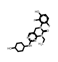 CCN1C(=O)N(c2c(F)ccc(O)c2F)Cc2cnc(NC3CCC(O)CC3)nc21